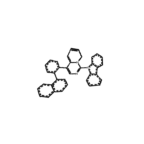 C1=CCN2C(=C1)C(c1ccccc1-c1cccc3ccccc13)=CN=C2n1c2ccccc2c2ccccc21